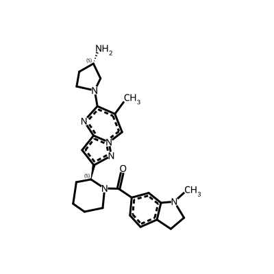 Cc1cn2nc([C@@H]3CCCCN3C(=O)c3ccc4c(c3)N(C)CC4)cc2nc1N1CC[C@H](N)C1